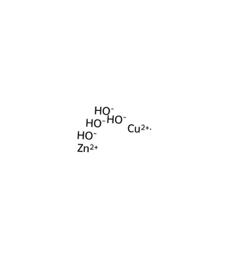 [Cu+2].[OH-].[OH-].[OH-].[OH-].[Zn+2]